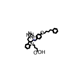 O=C(O)CCCn1c(/C=C/c2ccc(OCCCCc3ccccc3)cc2)c(Cc2nnn[nH]2)c2ccccc21